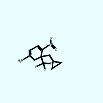 NC1=CC=C([N+](=O)[O-])C(CC2CC2)(C(F)(F)F)C1